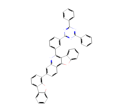 c1ccc(-c2nc(-c3ccccc3)nc(-c3cccc(-c4nc5cc(-c6cccc7c6oc6ccccc67)ccc5c5oc6ccccc6c45)c3)n2)cc1